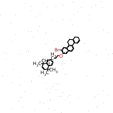 CC1(C)C=CC(C)(C)c2ccccc21.CCCOc1cc2ccc3c(c2cc1Br)CCC1=C3C=CCC1